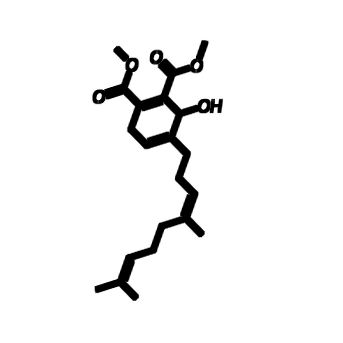 COC(=O)C1=C(C(=O)OC)C(O)C(CCC=C(C)CCC=C(C)C)=CC1